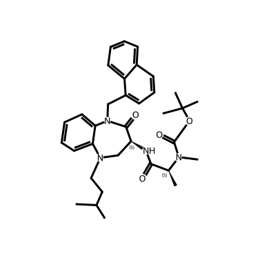 CC(C)CCN1C[C@H](NC(=O)[C@H](C)N(C)C(=O)OC(C)(C)C)C(=O)N(Cc2cccc3ccccc23)c2ccccc21